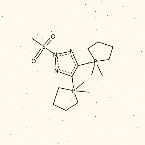 CS(=O)(=O)n1nc(P2(C)(C)CCCC2)c(P2(C)(C)CCCC2)n1